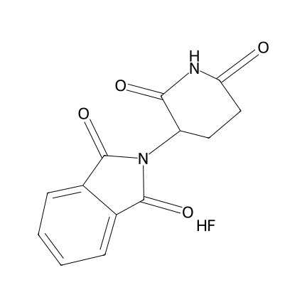 F.O=C1CCC(N2C(=O)c3ccccc3C2=O)C(=O)N1